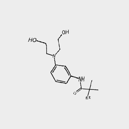 CCC(C)(C)C(=O)Nc1cccc(N(CCO)CCO)c1